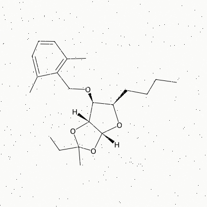 CCCC[C@H]1O[C@@H]2OC(C)(CC)O[C@@H]2[C@H]1OCc1c(C)cccc1C